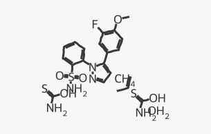 C.C=CC.COc1ccc(-c2ccnn2-c2ccccc2S(N)(=O)=O)cc1F.NC(O)=S.NC(O)=S.O